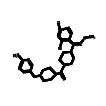 CO/N=C(\c1ccc(Cl)cc1Cl)C1CCN(C(=O)C2CCN(Cc3cnc(N)nc3)CC2)CC1